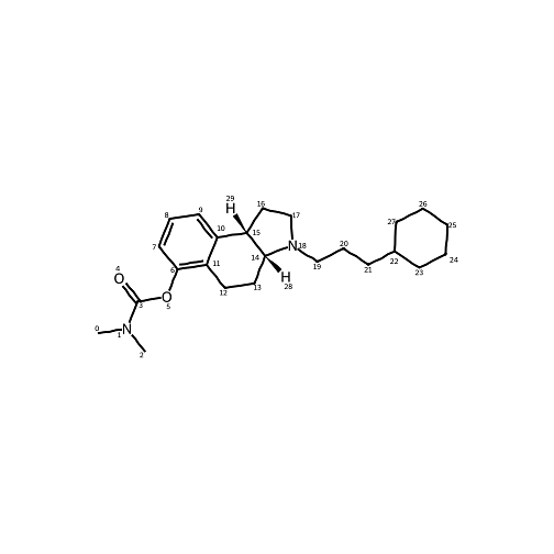 CN(C)C(=O)Oc1cccc2c1CC[C@@H]1[C@H]2CCN1CCCC1CCCCC1